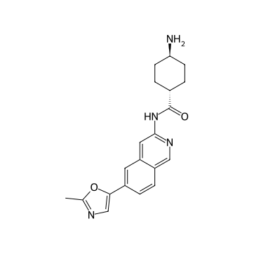 Cc1ncc(-c2ccc3cnc(NC(=O)[C@H]4CC[C@H](N)CC4)cc3c2)o1